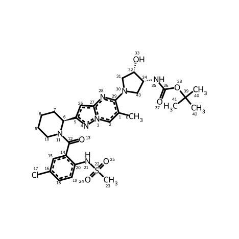 Cc1cn2nc([C@@H]3CCCCN3C(=O)c3cc(Cl)ccc3NS(C)(=O)=O)cc2nc1N1C[C@H](O)[C@H](NC(=O)OC(C)(C)C)C1